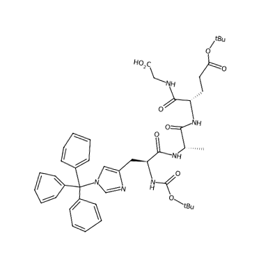 C[C@H](NC(=O)[C@H](Cc1cn(C(c2ccccc2)(c2ccccc2)c2ccccc2)cn1)NC(=O)OC(C)(C)C)C(=O)N[C@@H](CCC(=O)OC(C)(C)C)C(=O)NCC(=O)O